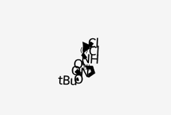 CC(C)(C)OC(=O)N1CCC[C@H]1C(=O)NC[C@H]1CC1(Cl)Cl